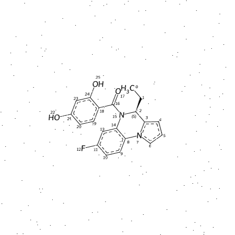 CC[C@H]1c2cccn2-c2ccc(F)cc2N1C(=O)c1ccc(O)cc1O